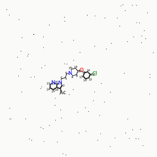 CC(=O)c1cn(CCCN2CCC(Oc3cccc(Cl)c3)CC2)c2ncccc12